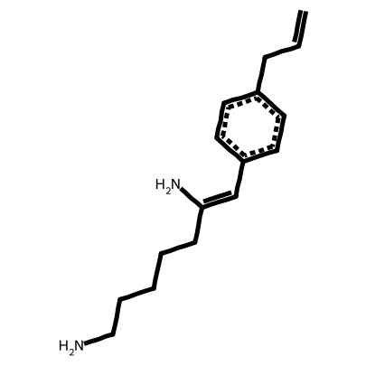 C=CCc1ccc(C=C(N)CCCCCN)cc1